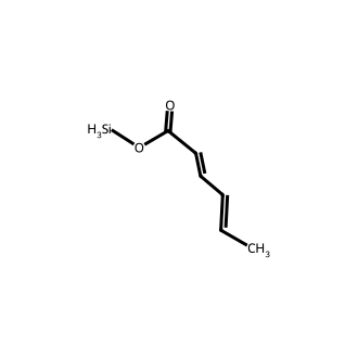 CC=CC=CC(=O)O[SiH3]